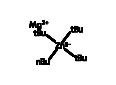 CCC[CH2][Zn-2]([C](C)(C)C)([C](C)(C)C)[C](C)(C)C.[Mg+2]